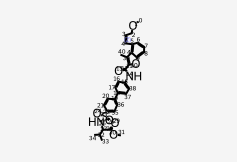 COC/C=C\c1cccc2oc(C(=O)Nc3ccc(-c4ccc(S(=O)(=O)NC(C(=O)OC)C(C)C)cc4)cc3)c(C)c12